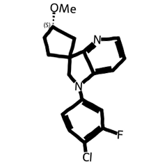 CO[C@H]1CCC2(C1)CN(c1ccc(Cl)c(F)c1)c1cccnc12